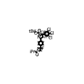 CC(C)C(=O)N1CC(F)(c2ccc(C3=NN(C(=O)OC(C)(C)C)C(c4cc(Cl)c(Cl)c(Cl)c4)(C(F)(F)F)C3)cc2)C1